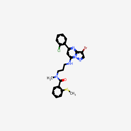 CSc1ccccc1C(=O)N(C)CCCNc1cc(-c2ccccc2Cl)nc2c(Br)cnn12